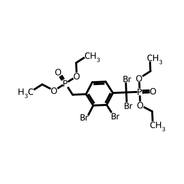 CCOP(=O)(Cc1ccc(C(Br)(Br)P(=O)(OCC)OCC)c(Br)c1Br)OCC